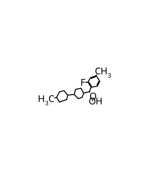 Cc1ccc(C(OO)C2CCC(C3CCC(C)CC3)CC2)c(F)c1